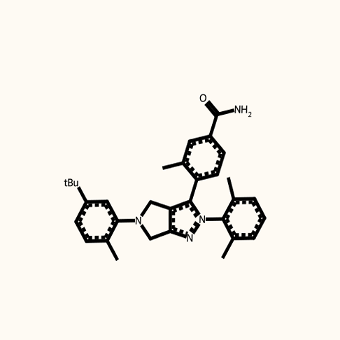 Cc1cc(C(N)=O)ccc1-c1c2c(nn1-c1c(C)cccc1C)CN(c1cc(C(C)(C)C)ccc1C)C2